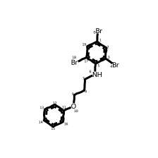 Brc1cc(Br)c(NCCCOc2ccccc2)c(Br)c1